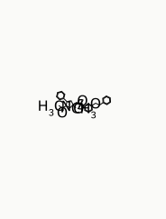 CC(=O)N1CC(C)(CS(=O)(=O)c2cccc(OCc3ccccc3)c2)C=C1c1ccccc1